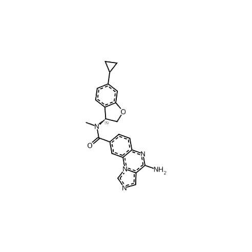 CN(C(=O)c1ccc2nc(N)c3cncn3c2c1)[C@@H]1COc2cc(C3CC3)ccc21